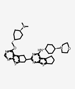 CN(C)[C@H]1CC[C@H](COc2ncnc3sc4c(c23)CC(c2nc(N[C@H]3CC[C@H](N5CCOCC5)CC3)c3c5c(sc3n2)CCC5)C4)CC1